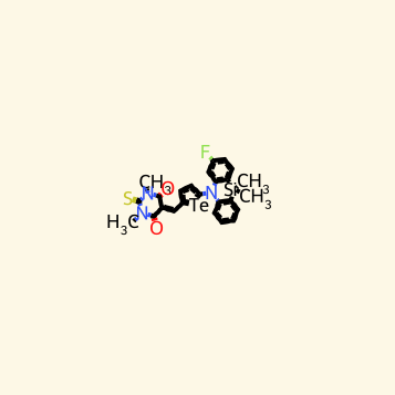 CN1C(=O)C(=Cc2ccc(N3c4ccccc4[Si](C)(C)c4ccc(F)cc43)[te]2)C(=O)N(C)C1=S